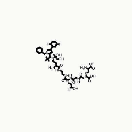 CC(C)(C)[C@H](c1cc(-c2cc(F)ccc2F)cn1Cc1ccccc1)N(CC[C@H](N)C(=O)NCCNC(=O)[C@@H](CCC(=O)O)NC(=O)CNC(=O)C[C@H](SCC(N)C(=O)O)C(=O)O)C(C)(O)CO